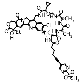 CC[C@@]1(O)C(=O)OCc2c1cc1n(c2=O)Cc2c-1nc1cc(F)c(Cl)cc1c2CNC(=O)[C@@H](OCNC(=O)[C@H](C)NC(=O)[C@H](C)NC(=O)[C@H](C)NC(=O)CCCC#Cc1cnc(S(C)(=O)=O)nc1)C1CC1